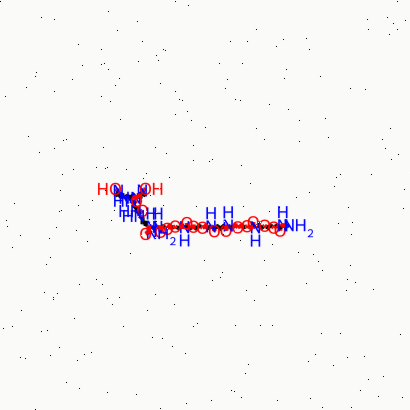 C/C(=N\O)C(C)(C)NCC(CNC(C)(C)/C(C)=N/O)NC(=O)CCCC(=O)NCCCC[C@H](NCNC(=O)COCCOCCNC(=O)COCCOCCNC(=O)CCCC(=O)NCCOCCOCC(=O)NCCOCCOCC(=O)NCN)C(N)=O